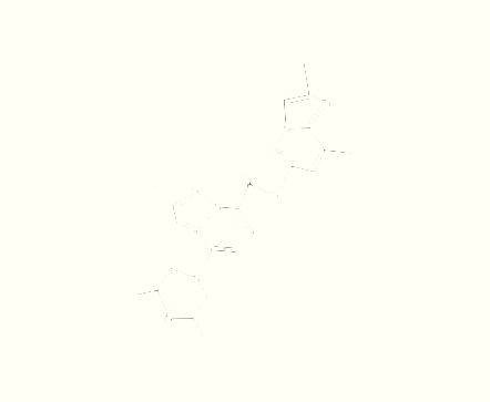 Cc1cn2cc(NC(=O)c3ccc(N4CC(C)NC(C)C4)c4cc(C)nn34)cc(F)c2n1